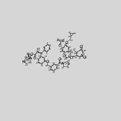 O=C(N[C@@H](c1ccccc1)c1cccc(OCc2cccc(C(=O)N3CCS[C@H]3C(=O)O[C@@H](Cc3c(Cl)c[n+]([O-])cc3Cl)c3ccc(OC(F)F)c(OCC4CC4)c3)c2)c1)O[C@H]1CN2CCC1CC2